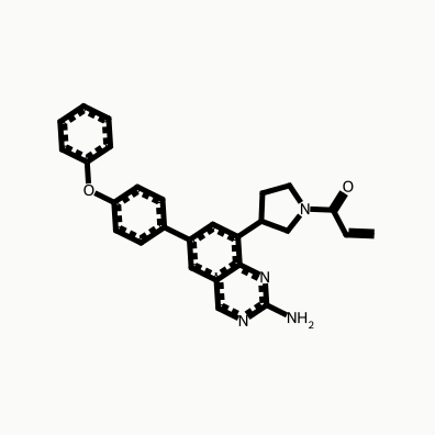 C=CC(=O)N1CCC(c2cc(-c3ccc(Oc4ccccc4)cc3)cc3cnc(N)nc23)C1